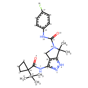 CC1(C)c2[nH]nc(NC(=O)C3([Si](C)(C)C)CCC3)c2CN1C(=O)Nc1ccc(F)cc1